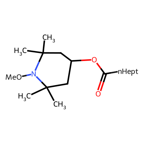 CCCCCCCC(=O)OC1CC(C)(C)N(OC)C(C)(C)C1